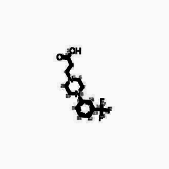 O=C(O)CCN1CCN(c2cccc(C(F)(F)F)c2)CC1